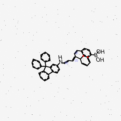 OB(O)c1ccc(\C=C/C(=C\C=C\Nc2ccc3c(c2)C(c2ccccc2)(c2ccccc2)c2ccccc2-3)C2C=CC=CC2)cc1